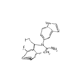 C=C(N)N(c1ccc2[nH]cnc2c1)C(CI)c1c(F)cccc1F